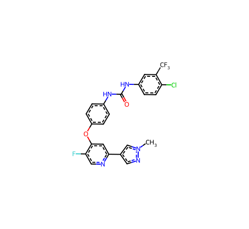 Cn1cc(-c2cc(Oc3ccc(NC(=O)Nc4ccc(Cl)c(C(F)(F)F)c4)cc3)c(F)cn2)cn1